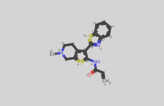 C=CC(=O)Nc1sc2c(c1-c1nc3ccccc3s1)CCN(CC)C2